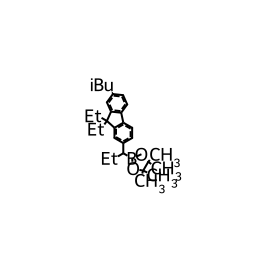 CCC(B1OC(C)(C)C(C)(C)O1)c1ccc2c(c1)C(CC)(CC)c1cc([C@H](C)CC)ccc1-2